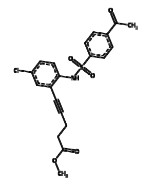 COC(=O)CCC#Cc1cc(Cl)ccc1NS(=O)(=O)c1ccc(C(C)=O)cc1